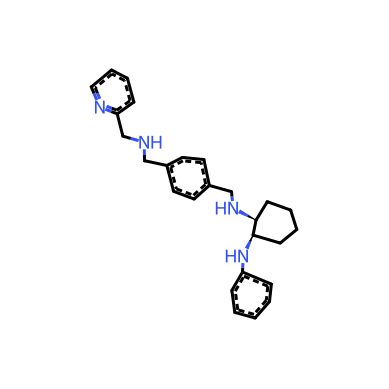 c1ccc(N[C@@H]2CCCC[C@@H]2NCc2ccc(CNCc3ccccn3)cc2)cc1